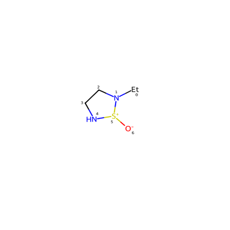 CCN1CCN[S+]1[O-]